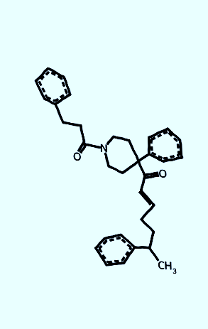 CC(CC/C=C/C(=O)C1(c2ccccc2)CCN(C(=O)CCc2ccccc2)CC1)c1ccccc1